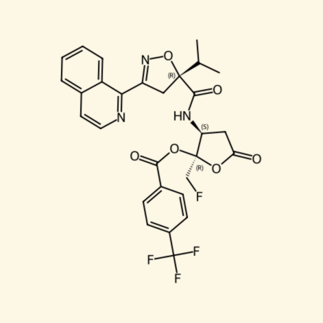 CC(C)[C@@]1(C(=O)N[C@H]2CC(=O)O[C@@]2(CF)OC(=O)c2ccc(C(F)(F)F)cc2)CC(c2nccc3ccccc23)=NO1